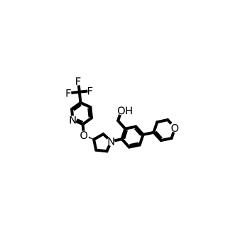 OCc1cc(C2=CCOCC2)ccc1N1CC[C@H](Oc2ccc(C(F)(F)F)cn2)C1